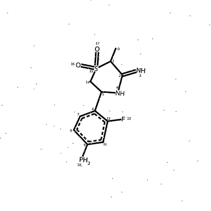 CC1C(=N)NC(c2ccc(P)cc2F)CS1(=O)=O